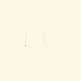 O=C1CCC=C(C(=O)O)C1